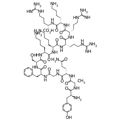 C[C@H](NC(=O)[C@@H](N)Cc1ccc(O)cc1)C(=O)N[C@@H](CCC(N)=O)C(=O)NCC(=O)N[C@@H](Cc1ccccc1)C(=O)N[C@@H](CO)C(=O)N[C@@H](CCCCN)C(=O)N[C@@H](CCCCN)C(=O)N[C@@H](CCCNC(=N)N)C(=O)N[C@@H](CCCNC(=N)N)C(=O)N[C@@H](CCCCN)C(=O)N[C@@H](CCCNC(=N)N)C(=O)O